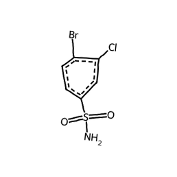 NS(=O)(=O)c1ccc(Br)c(Cl)c1